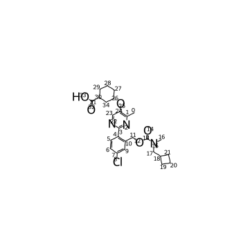 Cc1nc(-c2ccc(Cl)cc2COC(=O)N(C)CC2CCC2)ncc1O[C@H]1CCC[C@H](C(=O)O)C1